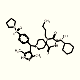 CCCCN1C(=O)[C@@H]([C@H](O)C2CCCCC2)NC(=O)C12CCN(C(c1ccc(S(=O)(=O)N3CCCC3)cc1)c1c(C)n[nH]c1C)CC2